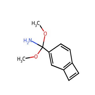 COC(N)(OC)c1ccc2c(c1)C=C2